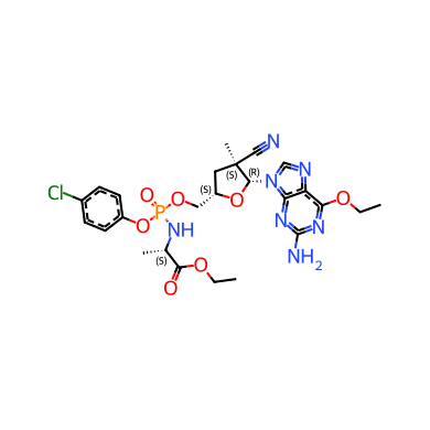 CCOC(=O)[C@H](C)NP(=O)(OC[C@@H]1C[C@@](C)(C#N)[C@H](n2cnc3c(OCC)nc(N)nc32)O1)Oc1ccc(Cl)cc1